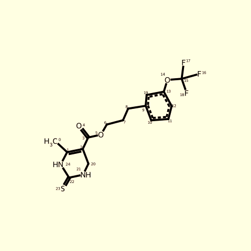 CC1=C(C(=O)OCCCc2cccc(OC(F)(F)F)c2)CNC(=S)N1